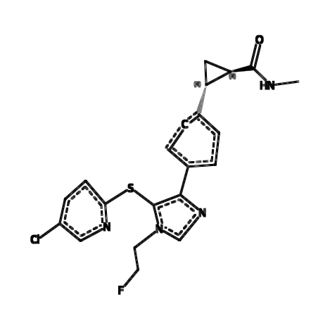 CNC(=O)[C@@H]1C[C@H]1c1ccc(-c2ncn(CCF)c2Sc2ccc(Cl)cn2)cc1